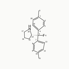 Cc1ccc(C(F)(c2ccc(C)cc2)[C@@H]2CCCN2)cc1